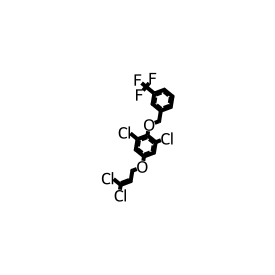 FC(F)(F)c1cccc(COc2c(Cl)cc(OCC=C(Cl)Cl)cc2Cl)c1